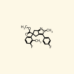 COC(=O)C1(c2cccc(F)c2C)Cc2nn(C)c(-c3ccc(F)cc3)c2C1